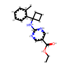 CCOC(=O)c1cnc(NC2(c3ccccc3C)CCC2)nc1